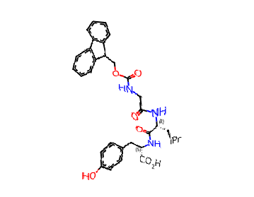 CC(C)C[C@@H](NC(=O)CNC(=O)OCC1c2ccccc2-c2ccccc21)C(=O)N[C@@H](Cc1ccc(O)cc1)C(=O)O